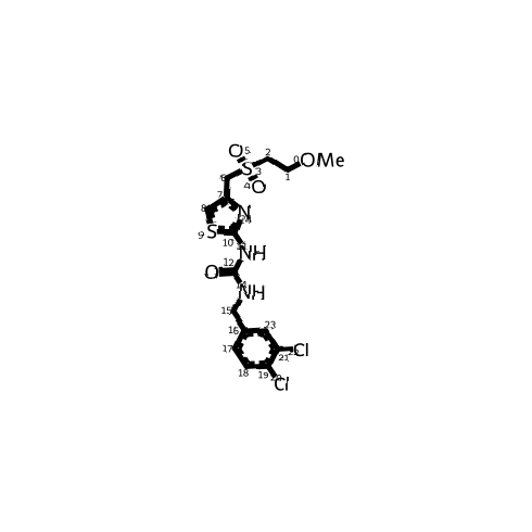 COCCS(=O)(=O)Cc1csc(NC(=O)NCc2ccc(Cl)c(Cl)c2)n1